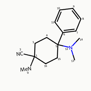 CNC1(C#N)CCC(c2ccccc2)(N(C)C)CC1